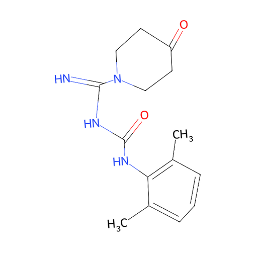 Cc1cccc(C)c1NC(=O)NC(=N)N1CCC(=O)CC1